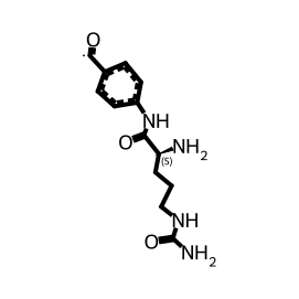 NC(=O)NCCC[C@H](N)C(=O)Nc1ccc([C]=O)cc1